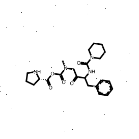 CN(CC(=O)C(Cc1ccccc1)NC(=O)N1CCCCC1)C(=O)OC(=O)[C@@H]1CCCN1